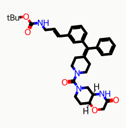 CC(C)(C)OC(=O)NC/C=C/c1cccc(C(=C2CCN(C(=O)N3CC[C@@H]4OCC(=O)N[C@@H]4C3)CC2)c2ccccc2)c1